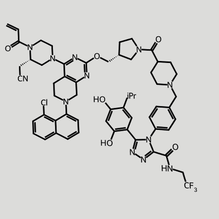 C=CC(=O)N1CCN(c2nc(OC[C@@H]3CCN(C(=O)C4CCN(Cc5ccc(-n6c(C(=O)NCC(F)(F)F)nnc6-c6cc(C(C)C)c(O)cc6O)cc5)CC4)C3)nc3c2CCN(c2cccc4cccc(Cl)c24)C3)C[C@@H]1CC#N